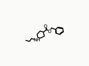 CCCNC1CCC(C(=O)OCc2ccccc2)CC1